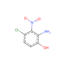 Nc1c(O)ccc(Cl)c1[N+](=O)[O-]